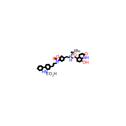 CC(C)(C)[Si](C)(C)O[C@@H](CNCCc1ccc2c(c1)oc(=O)n2CC=Cc1ccc(-c2ccccc2)c(NC(=O)O)c1)c1ccc(O)c2[nH]c(=O)ccc12